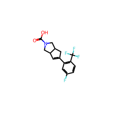 O=C(O)N1CC2C=C(c3cc(F)ccc3C(F)(F)F)CC2C1